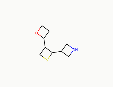 C1CC(C2CSC2C2CNC2)O1